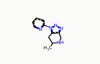 CC1Cc2c(nnn2-c2ccccn2)CN1